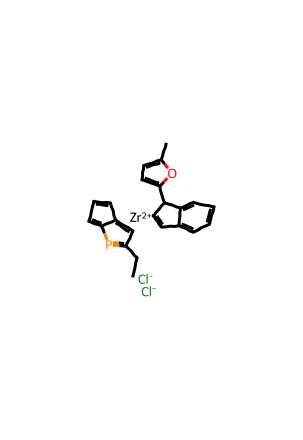 CCC1=PC2=CC=CC2=C1.Cc1ccc(C2[C]([Zr+2])=Cc3ccccc32)o1.[Cl-].[Cl-]